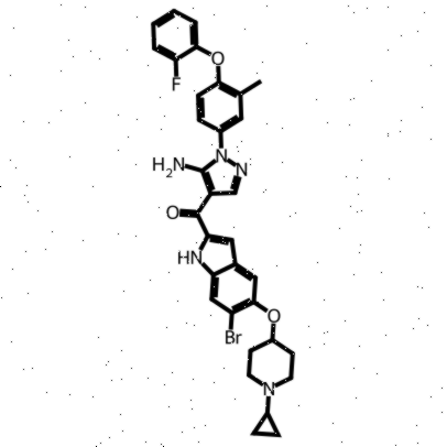 Cc1cc(-n2ncc(C(=O)c3cc4cc(OC5CCN(C6CC6)CC5)c(Br)cc4[nH]3)c2N)ccc1Oc1ccccc1F